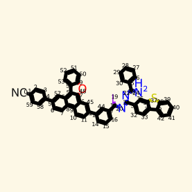 N#Cc1ccc(-c2ccc3c4ccc(-c5cccc(C(I)/N=C(\N=C(/N)c6ccccc6)c6ccc7c(c6)sc6ccccc67)c5)cc4c4oc5ccccc5c4c3c2)cc1